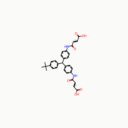 CC(C)(C)c1ccc(C(c2ccc(NC(=O)/C=C/C(=O)O)cc2)c2ccc(NC(=O)/C=C/C(=O)O)cc2)cc1